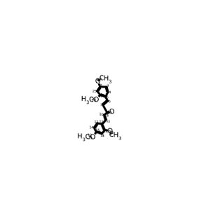 COc1ccc(/C=C/C(=O)/C=C/c2ccc(OC)cc2OC)c(OC)c1